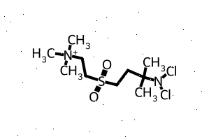 CC(C)(CCS(=O)(=O)CC[N+](C)(C)C)N(Cl)Cl